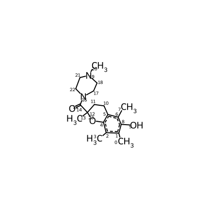 Cc1c(C)c2c(c(C)c1O)CCC(C)(C(=O)N1CCN(C)CC1)O2